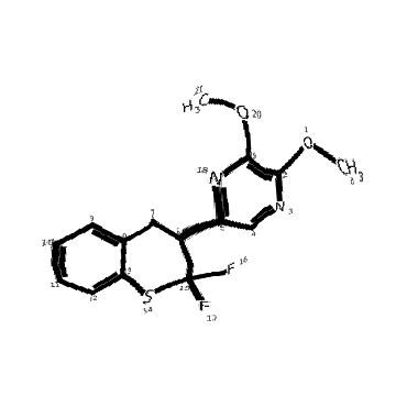 COc1ncc(C2Cc3ccccc3SC2(F)F)nc1OC